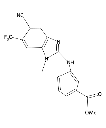 COC(=O)c1cccc(Nc2nc3cc(C#N)c(C(F)(F)F)cc3n2C)c1